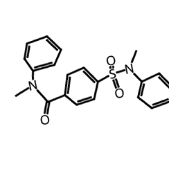 CN(C(=O)c1ccc(S(=O)(=O)N(C)c2ccccc2)cc1)c1ccccc1